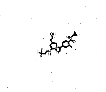 Cc1cc(-c2cnc3c(NCCC(F)(F)F)cc(CCO)cn23)ccc1C(=O)NC1CC1